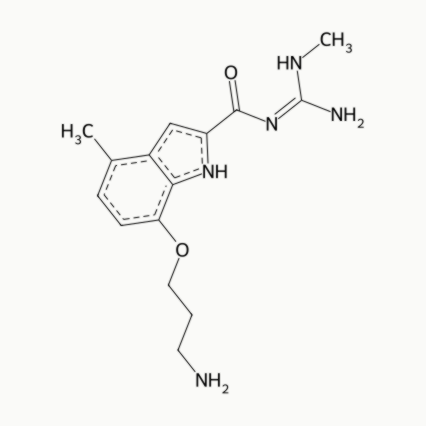 CNC(N)=NC(=O)c1cc2c(C)ccc(OCCCN)c2[nH]1